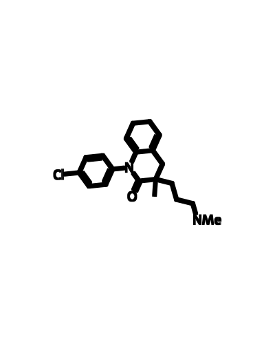 CNCCCC1(C)CC2=CCCC=C2N(c2ccc(Cl)cc2)C1=O